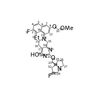 CCc1c(F)ccc2cc(OCOC)cc(N3CCc4c(O)nc(OC[C@@]56CCCN5C[C@H](F)C6)nc4C3)c12